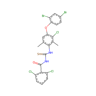 Cc1cc(Oc2ccc(Br)cc2Br)c(Cl)c(C)c1NC(=S)NC(=O)c1c(Cl)cccc1Cl